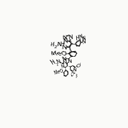 COc1ccccc1-c1nc(N)n2nc(-c3cccc(-c4nc(N)n5ncnc5c4-c4ccc5nn[nH]c5c4)c3OC)nc2c1-c1cc(Cl)nc(C(F)(F)F)c1